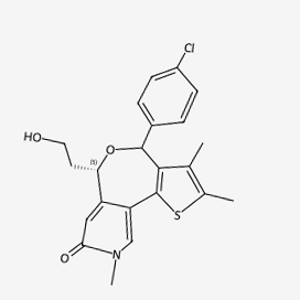 Cc1sc2c(c1C)C(c1ccc(Cl)cc1)O[C@@H](CCO)c1cc(=O)n(C)cc1-2